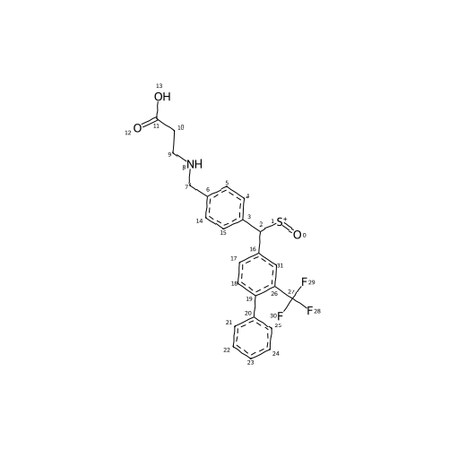 O=[S+]C(c1ccc(CNCCC(=O)O)cc1)c1ccc(-c2ccccc2)c(C(F)(F)F)c1